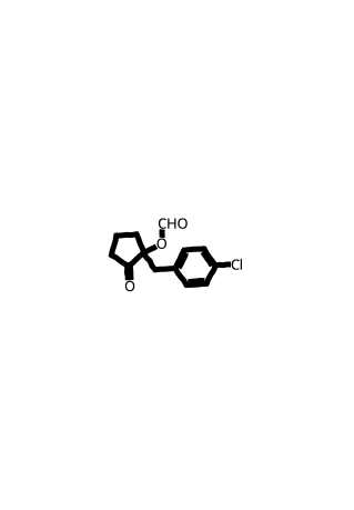 O=COC1(Cc2ccc(Cl)cc2)CCCC1=O